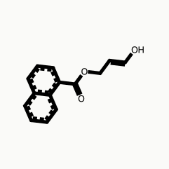 O=C(OCC=CO)c1cccc2ccccc12